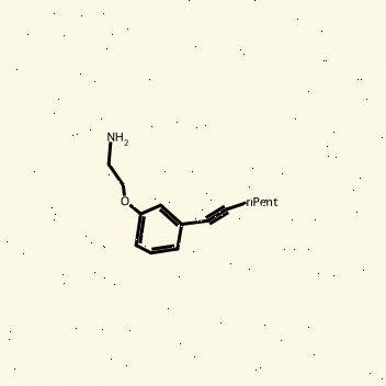 CCCCCC#Cc1cccc(OCCN)c1